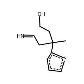 CC(CC=N)(CCO)c1cccs1